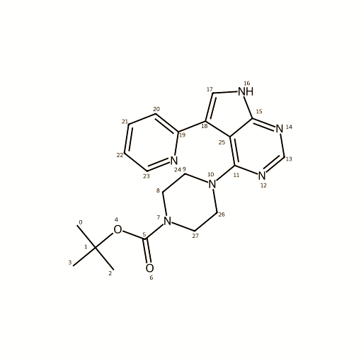 CC(C)(C)OC(=O)N1CCN(c2ncnc3[nH]cc(-c4ccccn4)c23)CC1